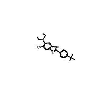 CCN(CC)c1cc2[nH]c(-c3ccc(C(C)(C)C)cc3)nc2cc1N